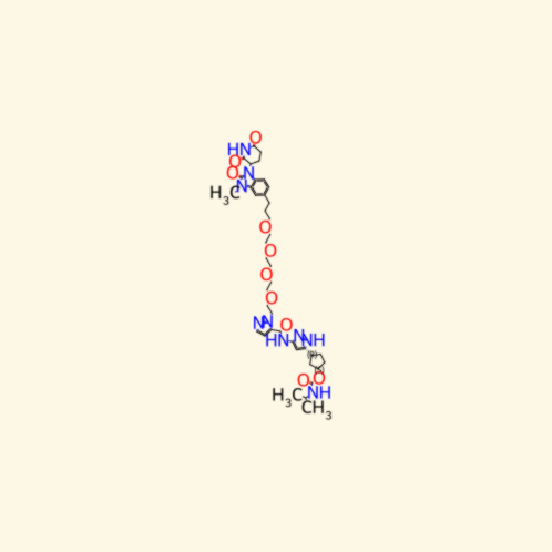 CC(C)NC(=O)O[C@H]1CC[C@@H](c2cc(NC(=O)c3ccnn3CCOCCOCCOCCOCCCc3ccc4c(c3)n(C)c(=O)n4C3CCC(=O)NC3=O)n[nH]2)C1